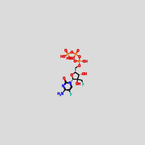 Nc1nc(=O)n([C@@H]2O[C@H](COP(=O)(O)OP(=O)(O)OP(=O)(O)O)[C@H](O)[C@]2(O)CF)cc1F